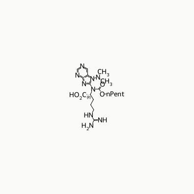 CCCCCOC(=O)N(c1nc2ncncc2n1N(C)C)[C@H](CCCNC(=N)N)C(=O)O